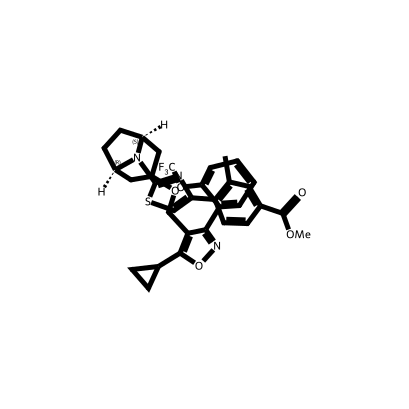 COC(=O)c1ccc(-c2csc(N3[C@@H]4CC[C@H]3CC(OCc3c(-c5ccccc5OC(F)(F)F)noc3C3CC3)C4)n2)c(C)c1